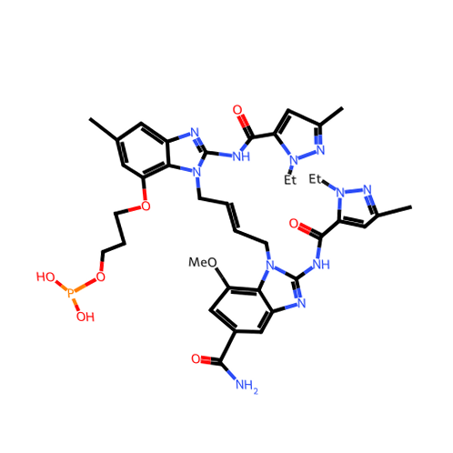 CCn1nc(C)cc1C(=O)Nc1nc2cc(C(N)=O)cc(OC)c2n1C/C=C/Cn1c(NC(=O)c2cc(C)nn2CC)nc2cc(C)cc(OCCCOP(O)O)c21